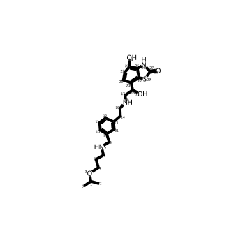 CC(C)OCCCNCc1cccc(CCNCC(O)c2ccc(O)c3[nH]c(=O)sc23)c1